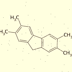 Cc1cc2c(cc1C)-c1cc(C)c(C)cc1C2